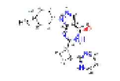 CC1(F)CCC(n2ncc3c(=O)[nH]c([C@@H]4CC[C@H]4c4ncccn4)nc32)CC1